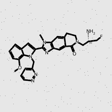 COc1cccc2cc(-c3nc4cc5c(cc4n3C)CCN(C[C@H](N)CF)C5=O)n(Cc3cccnn3)c12